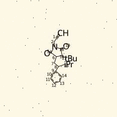 C#CCN1C(=O)C(CC(c2ccccc2)C(C)C)C(C(C)(C)C)C1=O